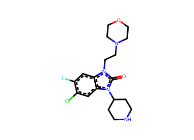 O=c1n(CCN2CCOCC2)c2cc(F)c(Cl)cc2n1C1CCNCC1